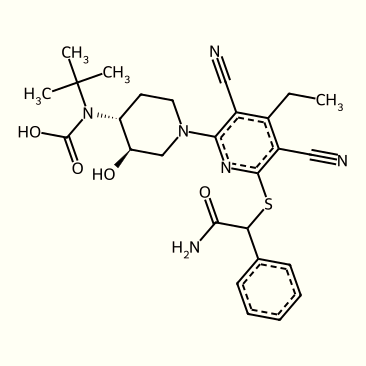 CCc1c(C#N)c(SC(C(N)=O)c2ccccc2)nc(N2CC[C@@H](N(C(=O)O)C(C)(C)C)[C@H](O)C2)c1C#N